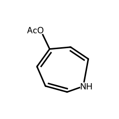 CC(=O)OC1=CC=CNC=C1